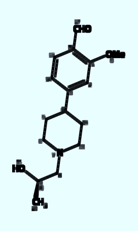 COc1cc(C2CCN(C[C@@H](C)O)CC2)ccc1C=O